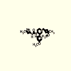 COc1ccc([C@@H]2CN(CC3CC(C)(OC)C3)CC[C@H]2NC(=O)Nc2cc(C)ns2)nc1